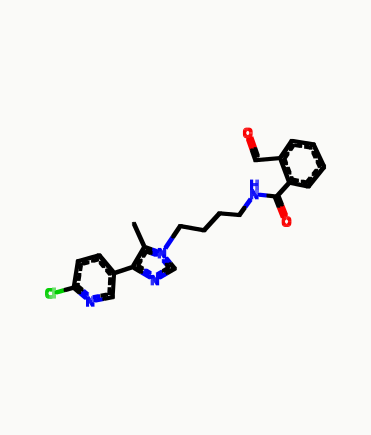 Cc1c(-c2ccc(Cl)nc2)ncn1CCCCNC(=O)c1ccccc1C=O